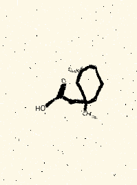 CC1(CC(=O)O)CCCCC1.[GaH3]